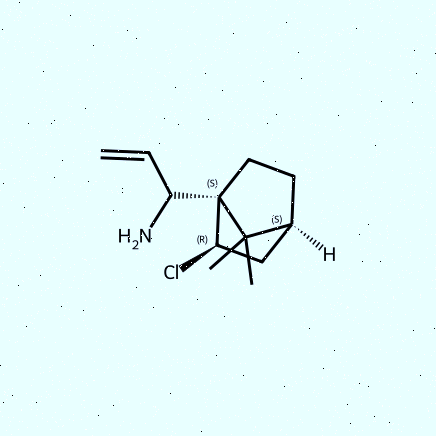 C=CC(N)[C@@]12CC[C@@H](C[C@H]1Cl)C2(C)C